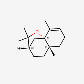 CC1=CCC[C@]2(C)CC[C@H]3C[C@@]12OC3(C)C